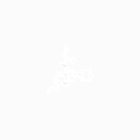 CCOC(=O)Nc1cc(N2CCCCC2)nc(NC(=O)OCC)[n+]1[O-]